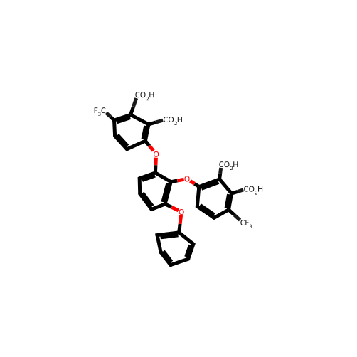 O=C(O)c1c(Oc2cccc(Oc3ccccc3)c2Oc2ccc(C(F)(F)F)c(C(=O)O)c2C(=O)O)ccc(C(F)(F)F)c1C(=O)O